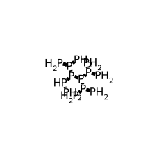 PPP(P(P)P)P(P(P)P)P(P)P